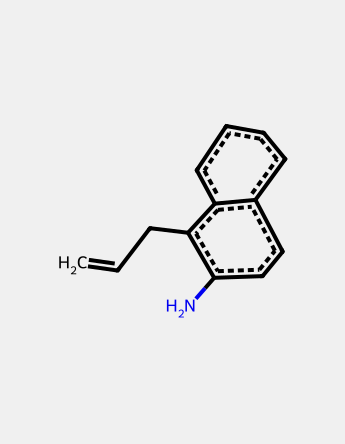 C=CCc1c(N)ccc2ccccc12